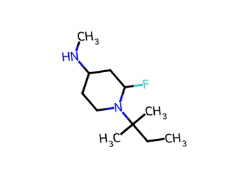 CCC(C)(C)N1CCC(NC)CC1F